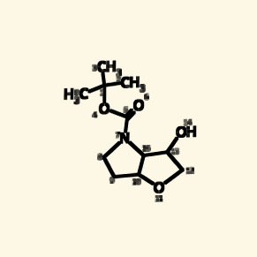 CC(C)(C)OC(=O)N1CCC2OCC(O)C21